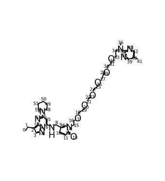 CCc1cnn2c(NCc3ccc(=O)n(CCOCCOCCOCCOCCOCCOCCN(C)c4ncc(C)cn4)c3)cc(N3CCCCC3)nc12